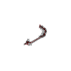 Cc1cc(F)cc(C)c1Oc1ccc(C(C)(C)O)cc1-c1cn(C)c(=O)c2[nH]c(C(=O)Nc3ccc(OCCOCCOCCOCCOCCOCCOCCOCCOCCNC(=O)CCNC(=O)c4nc(NC(=O)CCNC(=O)c5cc(NC(=O)c6nc(NC(=O)CCNC(=O)OCC7c8ccccc8-c8ccccc87)cn6C)cn5C)cn4C)cc3)cc12